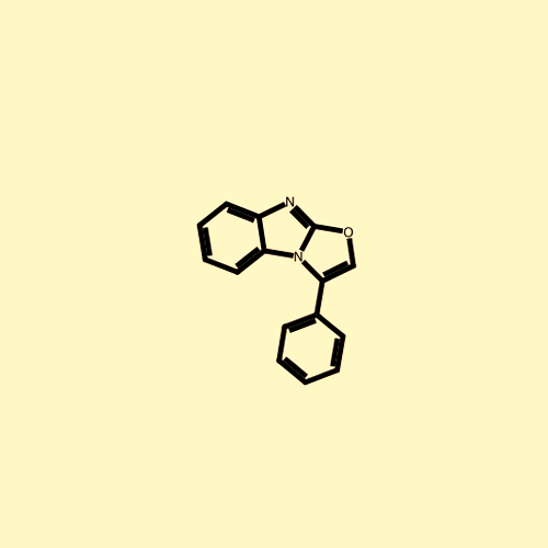 c1ccc(-c2coc3nc4ccccc4n23)cc1